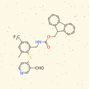 Cc1cc(C(F)(F)F)cc(CNC(=O)OCC2c3ccccc3-c3ccccc32)c1Sc1ccncc1C=O